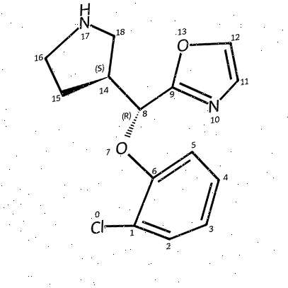 Clc1ccccc1O[C@@H](c1ncco1)[C@H]1CCNC1